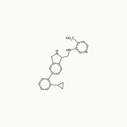 O=C(O)c1ccncc1NCC1NCc2cc(-c3ccccc3C3CC3)ccc21